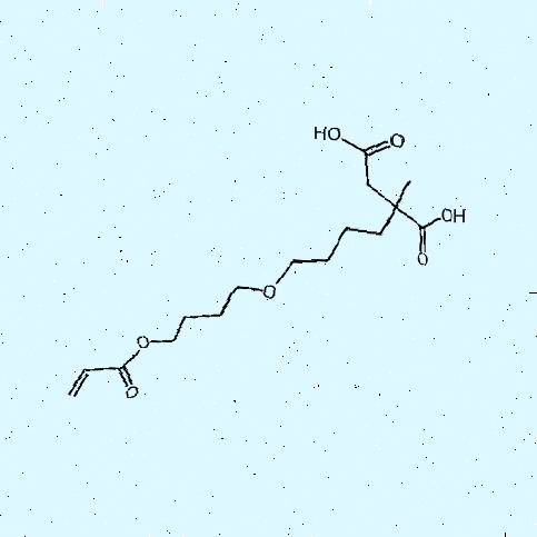 C=CC(=O)OCCCCOCCCCC(C)(CC(=O)O)C(=O)O